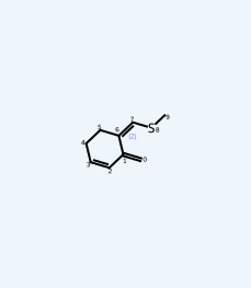 C=C1C=CCC/C1=C/SC